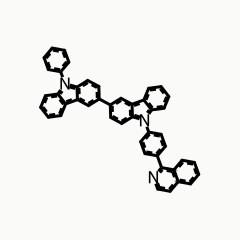 c1ccc(-n2c3ccccc3c3cc(-c4ccc5c(c4)c4ccccc4n5-c4ccc(-c5nccc6ccccc56)cc4)ccc32)cc1